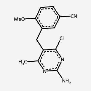 COc1ccc(C#N)cc1Cc1c(C)nc(N)nc1Cl